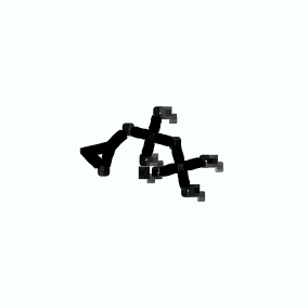 C[Si](C)(C)O[Si](C)(C)OC1CO1